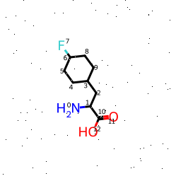 NC(CC1CCC(F)CC1)C(=O)O